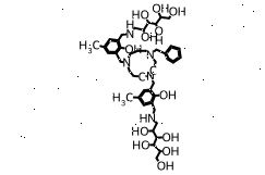 Cc1cc(CNCC(O)C(O)C(O)C(O)CO)c(O)c(CN2CCCN(Cc3ccccc3)CCN(Cc3cc(C)cc(CNCC(O)C(O)C(O)C(O)CO)c3O)CCC2)c1